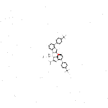 CC(C)C1=Cc2c(-c3ccc(C(C)(C)C)cc3)cccc2[CH]1[Hf]1([CH]2C(C(C)C)=Cc3c(-c4ccc(C(C)(C)C)cc4)cccc32)[CH2][CH2]1.Cl.Cl